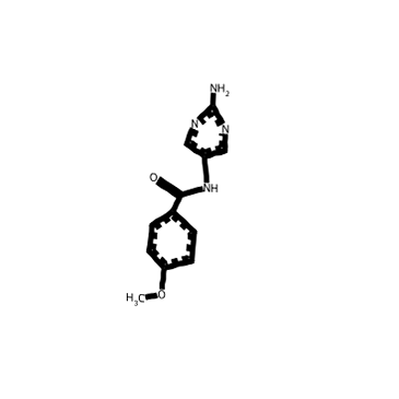 COc1ccc(C(=O)Nc2cnc(N)nc2)cc1